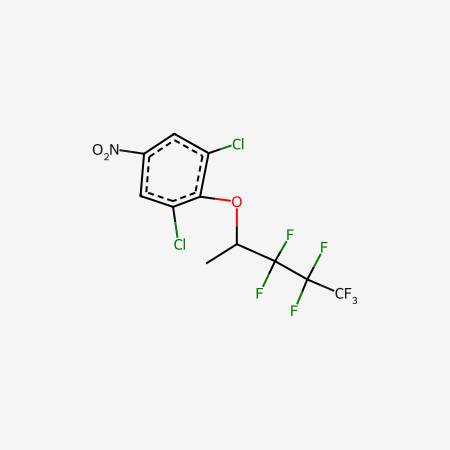 CC(Oc1c(Cl)cc([N+](=O)[O-])cc1Cl)C(F)(F)C(F)(F)C(F)(F)F